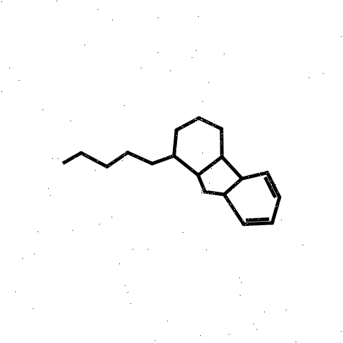 CCCCCC1CCCC2C1[C]C1C=CC=CC12